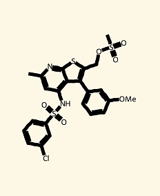 COc1cccc(-c2c(COS(C)(=O)=O)sc3nc(C)cc(NS(=O)(=O)c4cccc(Cl)c4)c23)c1